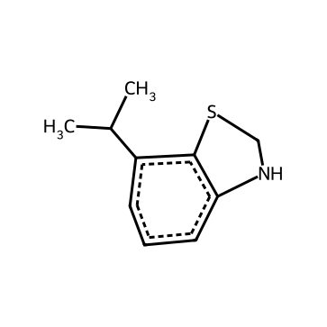 CC(C)c1cccc2c1SCN2